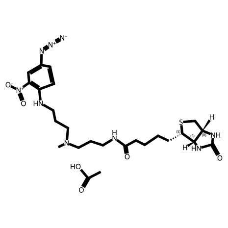 CC(=O)O.CN(CCCNC(=O)CCCC[C@@H]1SC[C@@H]2NC(=O)N[C@@H]21)CCCNc1ccc(N=[N+]=[N-])cc1[N+](=O)[O-]